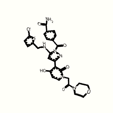 NC(=O)c1ccc(C(=O)n2nc(-c3c(O)ccn(CC(=O)N4CCOCC4)c3=O)cc2NCc2ccc(Cl)s2)cc1